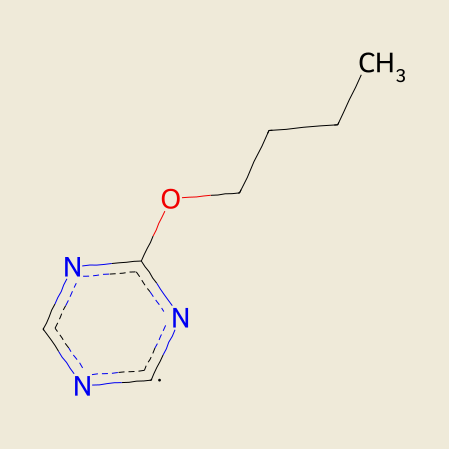 CCCCOc1n[c]ncn1